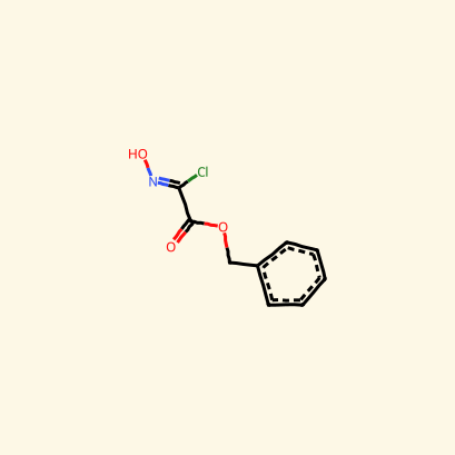 O=C(OCc1ccccc1)C(Cl)=NO